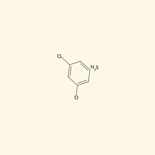 Clc1cccc(Cl)c1.S